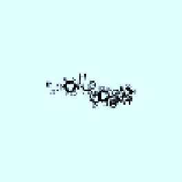 O=C(CNc1ccc(C(F)(F)F)cc1)N1CCc2cc(S(=O)(=O)Nc3nccs3)ccc21